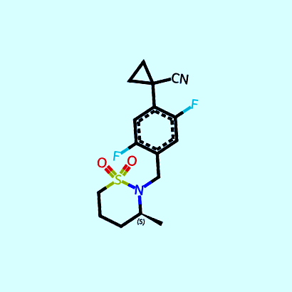 C[C@H]1CCCS(=O)(=O)N1Cc1cc(F)c(C2(C#N)CC2)cc1F